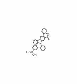 O=c1oc2ccccc2c2cc3c4ccccc4n(-c4ccccc4-c4cccc(B(O)O)c4)c3cc12